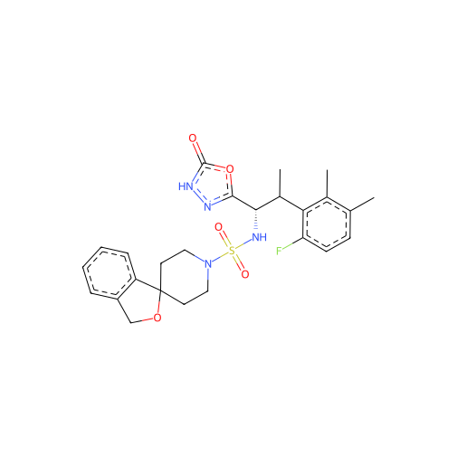 Cc1ccc(F)c(C(C)[C@H](NS(=O)(=O)N2CCC3(CC2)OCc2ccccc23)c2n[nH]c(=O)o2)c1C